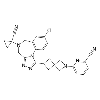 N#Cc1cccc(N2CC3(CC(c4nnc5n4-c4ccc(Cl)cc4CN(C4(C#N)CC4)C5)C3)C2)n1